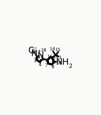 [C-]#[N+]c1ccc(-c2ccc(N)c(C(C)(C)C)c2)n1C